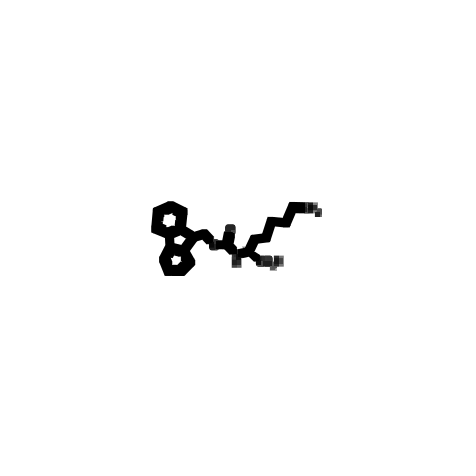 C=CCCCC[C@H](NC(=O)OCC1c2ccccc2-c2ccccc21)C(=O)O